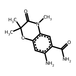 CN1C(=O)C(C)(C)Oc2cc(N)c(C(N)=O)cc21